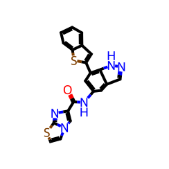 O=C(Nc1cc(-c2cc3ccccc3s2)c2[nH]ncc2c1)c1cn2ccsc2n1